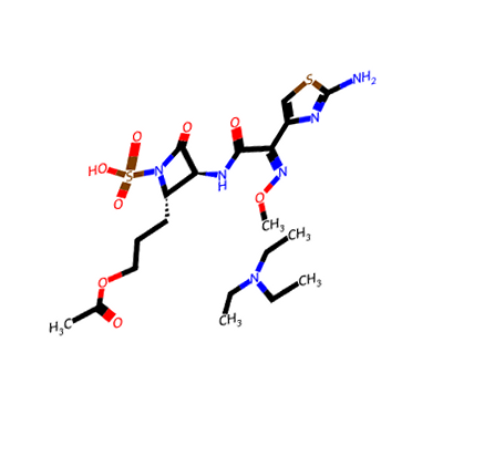 CCN(CC)CC.CON=C(C(=O)N[C@@H]1C(=O)N(S(=O)(=O)O)[C@H]1CCCOC(C)=O)c1csc(N)n1